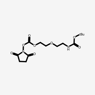 CC(C)(C)OC(=O)NCCOCCOC(=O)ON1C(=O)CCC1=O